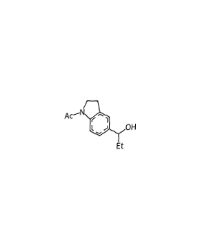 CCC(O)c1ccc2c(c1)CCN2C(C)=O